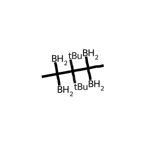 BC(B)(C)C(C(B)(B)C)(C(C)(C)C)C(C)(C)C